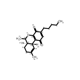 CCCCCC1=CC(=O)C2=C(OC(C)[C@@H]3CCC(C)=C[C@@H]23)C1=O